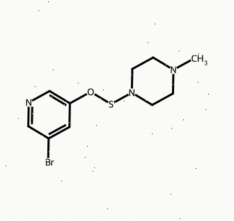 CN1CCN(SOc2cncc(Br)c2)CC1